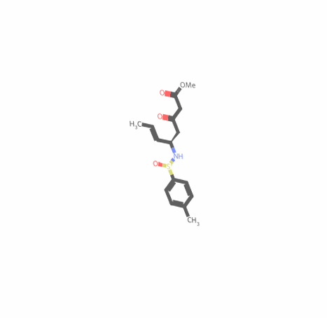 C/C=C/[C@@H](CC(=O)CC(=O)OC)N[S+]([O-])c1ccc(C)cc1